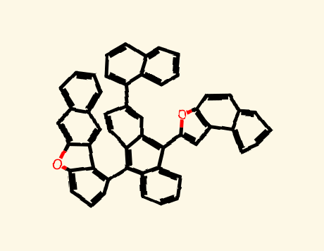 c1ccc2cc3c(cc2c1)oc1cccc(-c2c4ccccc4c(-c4cc5c(ccc6ccccc65)o4)c4cc(-c5cccc6ccccc56)ccc24)c13